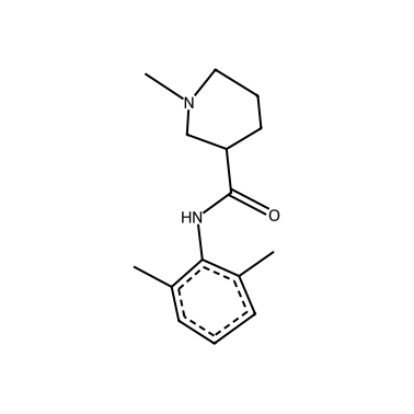 Cc1cccc(C)c1NC(=O)C1CCCN(C)C1